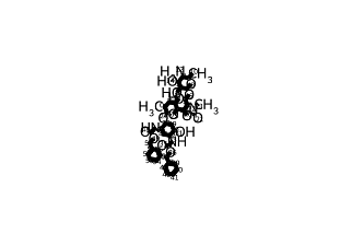 CC1C[C@@H]2OC(O[C@H]3OC(C)[C@@H](N)[C@H](O)C3O)C3C(OC(=O)N3C)C2O[C@@H]1O[C@H]1CC(O)[C@H](NC(=O)OCc2ccccc2)CC1NC(=O)OCc1ccccc1